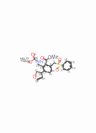 COC(=O)c1c(CS(=O)(=O)c2ccccc2)ccc(C2C=COC2)c1CNC(=O)OC(C)(C)C